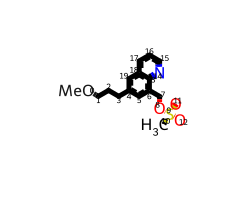 COCCCc1cc(COS(C)(=O)=O)c2ncccc2c1